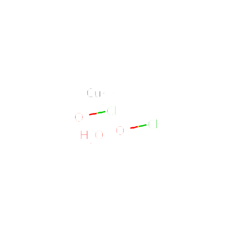 O.[Cu+2].[O-]Cl.[O-]Cl